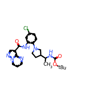 CC(NC(=O)OC(C)(C)C)C1CCN(c2ccc(Cl)cc2NC(=O)c2cnn3cccnc23)C1